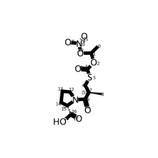 CC(OC(=O)SC[C@@H](C)C(=O)N1CCC[C@H]1C(=O)O)O[N+](=O)[O-]